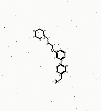 NCc1ccc(-c2cccc(OCCCN3CCCCC3)c2)cc1